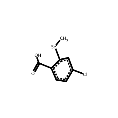 C[Se]c1cc(Cl)ccc1C(=O)O